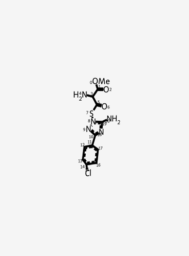 COC(=O)C(N)C(=O)Sn1nc(-c2ccc(Cl)cc2)nc1N